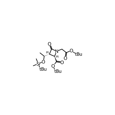 CC(O[Si](C)(C)C(C)(C)C)[C@@H]1C(=O)N(CC(=O)OC(C)(C)C)[C@H]1C(=O)OC(C)(C)C